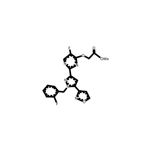 COC(=O)COc1nc(-c2cc(-c3ccon3)n(Cc3ccccc3F)n2)ncc1F